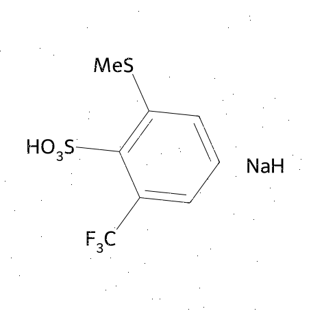 CSc1cccc(C(F)(F)F)c1S(=O)(=O)O.[NaH]